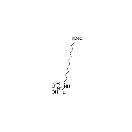 CCCCCCCCCCCCCCCCCCCCCCNC(CC)[N+](C)(C)C(C)(O)O